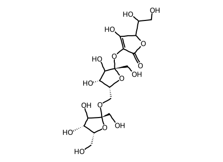 O=C1OC(C(O)CO)C(O)=C1O[C@]1(CO)O[C@H](CO[C@]2(CO)O[C@H](CO)[C@H](O)C2O)[C@H](O)C1O